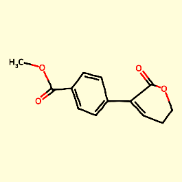 COC(=O)c1ccc(C2=CCCOC2=O)cc1